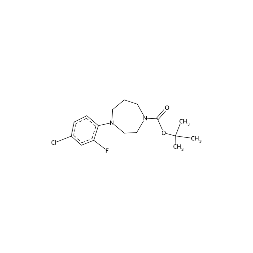 CC(C)(C)OC(=O)N1CCCN(c2ccc(Cl)cc2F)CC1